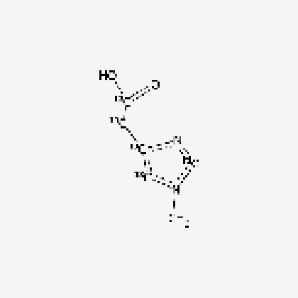 Cn1[13cH]n[13c]([13CH2][13C](=O)O)[13cH]1